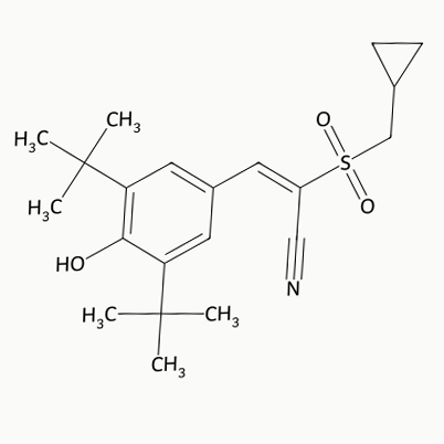 CC(C)(C)c1cc(/C=C(\C#N)S(=O)(=O)CC2CC2)cc(C(C)(C)C)c1O